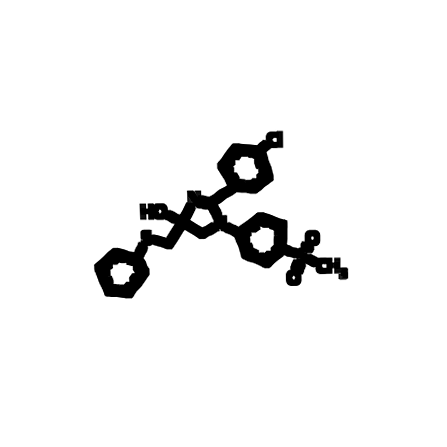 CS(=O)(=O)c1ccc(N2CC(O)(CSc3ccccc3)N=C2c2ccc(Cl)cc2)cc1